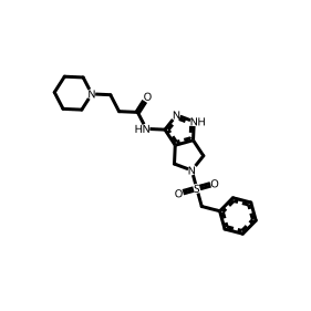 O=C(CCN1CCCCC1)Nc1n[nH]c2c1CN(S(=O)(=O)Cc1ccccc1)C2